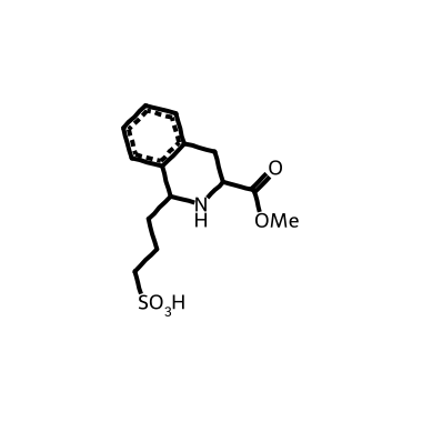 COC(=O)C1Cc2ccccc2C(CCCS(=O)(=O)O)N1